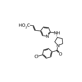 O=C(O)C=Cc1ccc(N[C@@H]2CCN(C(=O)c3ccc(Cl)cc3)C2)nc1